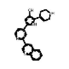 N#Cc1cc(-c2ccnc(-c3cnc4ccccc4c3)c2)[nH]c1C1=CCNCC1